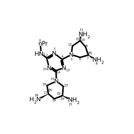 CCCNc1nc(N2C[C@H](N)C[C@H](N)C2)nc(N2C[C@H](N)C[C@H](N)C2)n1